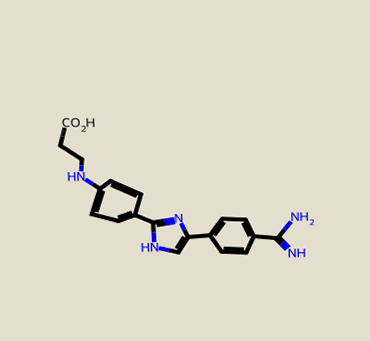 N=C(N)c1ccc(-c2c[nH]c(-c3ccc(NCCC(=O)O)cc3)n2)cc1